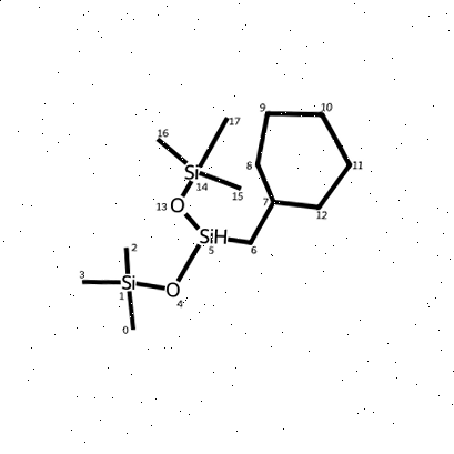 C[Si](C)(C)O[SiH](CC1CCCCC1)O[Si](C)(C)C